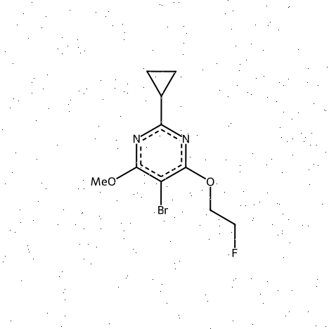 COc1nc(C2CC2)nc(OCCF)c1Br